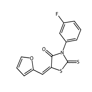 O=C1/C(=C\c2ccco2)SC(=S)N1c1cccc(F)c1